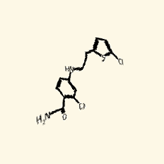 NC(=O)c1ccc(NCCc2ccc(Cl)s2)cc1Cl